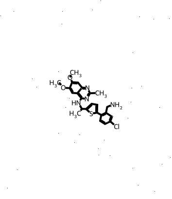 COc1cc2nc(C)nc(NC(C)c3ccc(-c4ccc(Cl)cc4CN)s3)c2cc1OC